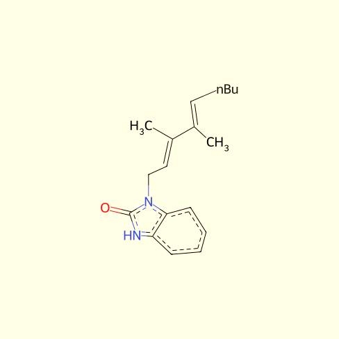 CCCC/C=C(C)/C(C)=C/Cn1c(=O)[nH]c2ccccc21